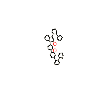 C1=C(c2ccccc2-c2ccccc2)c2ccccc2C2c3ccc4c(oc5cc(-c6ccccc6-c6ccccc6)ccc54)c3OC12